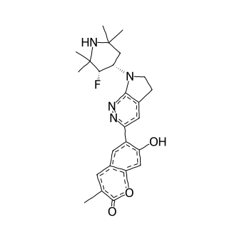 Cc1cc2cc(-c3cc4c(nn3)N([C@H]3CC(C)(C)NC(C)(C)[C@H]3F)CC4)c(O)cc2oc1=O